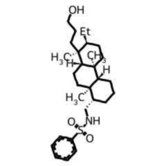 CC[C@H]1CC[C@]2(C)[C@H](CC[C@]3(C)[C@@H](CNS(=O)(=O)c4ccccc4)CCC[C@@H]23)[C@@]1(C)CCCO